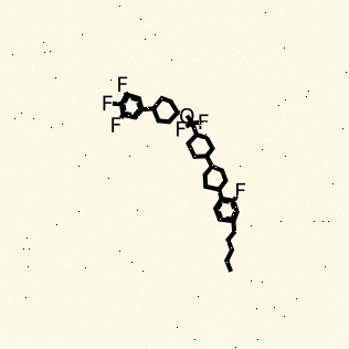 CCCCCc1ccc(C2CCC(C3CCC(C(F)(F)OC4CCC(c5cc(F)c(F)c(F)c5)CC4)CC3)CC2)c(F)c1